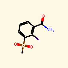 CS(=O)(=O)c1cccc(C(N)=O)c1I